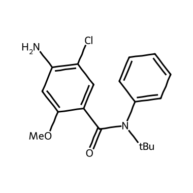 COc1cc(N)c(Cl)cc1C(=O)N(c1ccccc1)C(C)(C)C